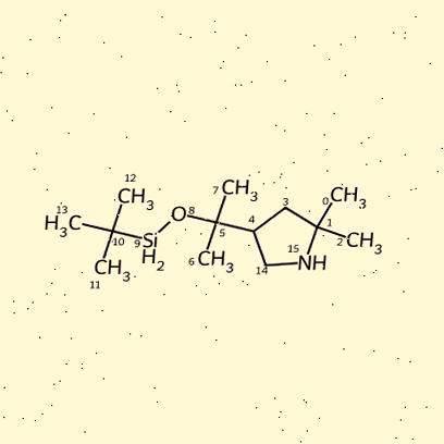 CC1(C)CC(C(C)(C)O[SiH2]C(C)(C)C)CN1